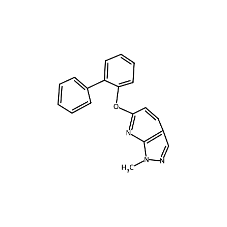 Cn1ncc2ccc(Oc3ccccc3-c3ccccc3)nc21